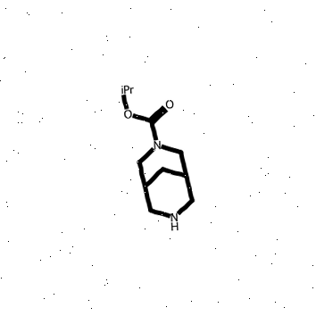 CC(C)OC(=O)N1CC2CNCC(C2)C1